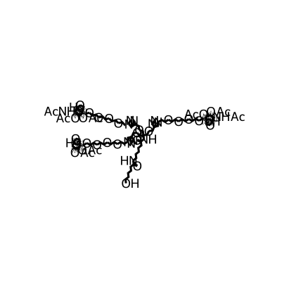 CC(=O)N[C@H]1[C@H]2OC[C@](COCCOCCOCCOCCn3cc(COCC(COCc4cn(CCOCCOCCOCCOC[C@@]56CO[C@@H](O5)[C@H](NC(C)=O)[C@@H](OC(C)=O)[C@H]6OC(C)=O)nn4)(COCc4cn(CCOCCOCCOCCOC[C@]56CO[C@H](C[C@@H](OC(C)=O)[C@H]5OC(C)=O)O6)nn4)NC(=O)CCCCCNC(=O)CCCCCO)nn3)(O2)[C@H](OC(C)=O)[C@@H]1OC(C)=O